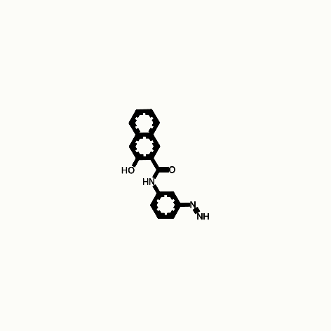 N=Nc1cccc(NC(=O)c2cc3ccccc3cc2O)c1